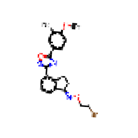 CC(C)Oc1ccc(-c2nc(-c3cccc4c3CC/C4=N\OCCBr)no2)cc1C#N